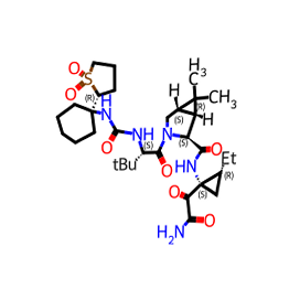 CC[C@@H]1C[C@@]1(NC(=O)[C@@H]1[C@@H]2[C@H](CN1C(=O)[C@@H](NC(=O)NC1([C@H]3CCCS3(=O)=O)CCCCC1)C(C)(C)C)C2(C)C)C(=O)C(N)=O